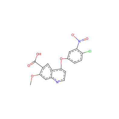 COc1cc2nccc(Oc3ccc(Cl)c([N+](=O)[O-])c3)c2cc1C(=O)O